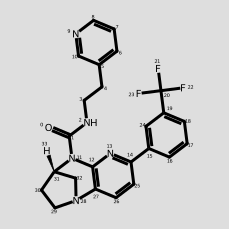 O=C(NCCc1cccnc1)N1c2nc(-c3cccc(C(F)(F)F)c3)ccc2N2CC[C@H]1C2